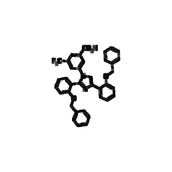 O=C(O)c1cc(-n2cc(-c3ccccc3OCc3ccccc3)nc2-c2ccccc2OCc2ccccc2)cc(C(F)(F)F)c1